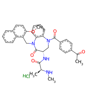 CN[C@@H](C)C(=O)N[C@H]1CN(C(=O)c2ccc(C(C)=O)cc2)c2ccccc2N(Cc2c(OC)ccc3ccccc23)C1=O.Cl